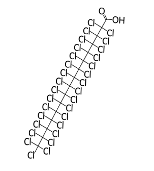 O=C(O)C(Cl)(Cl)C(Cl)(Cl)C(Cl)(Cl)C(Cl)(Cl)C(Cl)(Cl)C(Cl)(Cl)C(Cl)(Cl)C(Cl)(Cl)C(Cl)(Cl)C(Cl)(Cl)C(Cl)(Cl)C(Cl)(Cl)C(Cl)(Cl)C(Cl)(Cl)C(Cl)(Cl)Cl